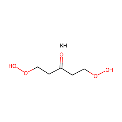 O=C(CCOO)CCOO.[KH]